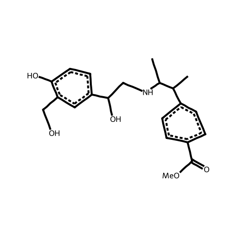 COC(=O)c1ccc(C(C)C(C)NCC(O)c2ccc(O)c(CO)c2)cc1